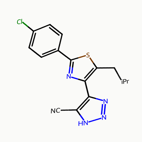 CC(C)Cc1sc(-c2ccc(Cl)cc2)nc1-c1nn[nH]c1C#N